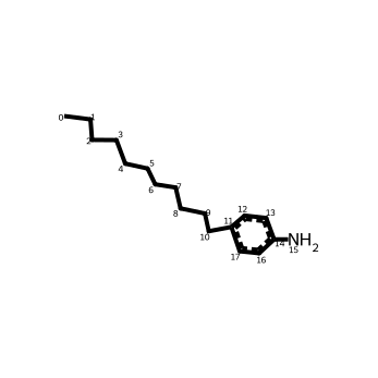 CCCCCCCCCCCc1ccc(N)cc1